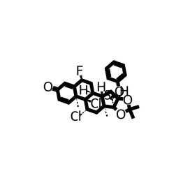 CC1(C)O[C@@H]2C[C@H]3[C@@H]4C[C@H](F)C5=CC(=O)C=C[C@]5(C)[C@@]4(Cl)[C@@H](Cl)C[C@]3(C)[C@]2(C(=S)Oc2ccccc2)O1